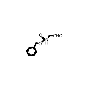 O=C[CH]NC(=O)OCc1ccccc1